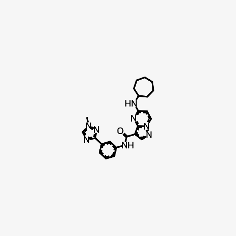 Cn1cnc(-c2cccc(NC(=O)c3cnn4ccc(NC5CCCCCC5)nc34)c2)n1